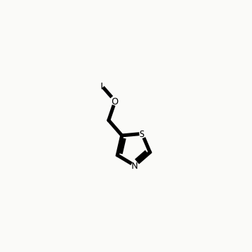 IOCc1cncs1